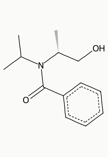 CC(C)N(C(=O)c1ccccc1)[C@H](C)CO